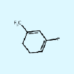 FC1=CC[CH]C(C(F)(F)F)=C1